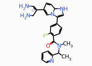 CC(c1ccccn1)N(C)C(=O)c1ccc(C2=CNC3C=CC(/C(=C/N)CN)=CN23)cc1F